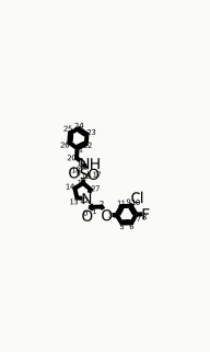 O=C(COc1ccc(F)c(Cl)c1)N1CCC(S(=O)(=O)NCc2ccccc2)C1